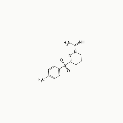 N=C(N)N1CCCC(S(=O)(=O)c2ccc(C(F)(F)F)cc2)=N1